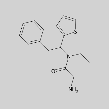 CCN(C(=O)CN)C(Cc1ccccc1)c1cccs1